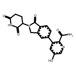 NC(=O)c1ncc(O)cc1-c1ccc2c(c1)CN(C1CCC(=O)NC1=O)C2=O